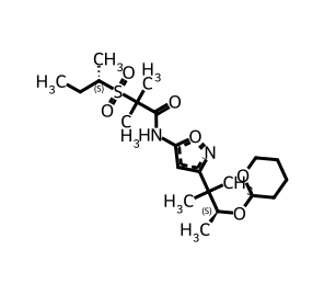 CC[C@H](C)S(=O)(=O)C(C)(C)C(=O)Nc1cc(C(C)(C)[C@H](C)OC2CCCCO2)no1